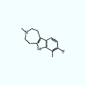 Cc1c(F)ccc2c3c([se]c12)CCN(C)CC3